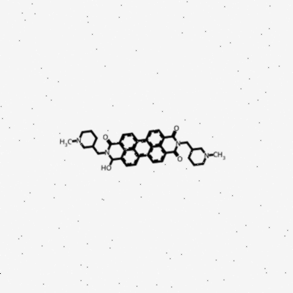 CN1CCCC(CN2C(=O)c3ccc4c5ccc6c7c(ccc(c8ccc(c3c48)C2=O)c75)C(O)N(CC2CCCN(C)C2)C6=O)C1